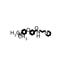 CN(C)c1ccc(Oc2cccc(C(=O)NCCCN3CCCCC3)c2)cc1